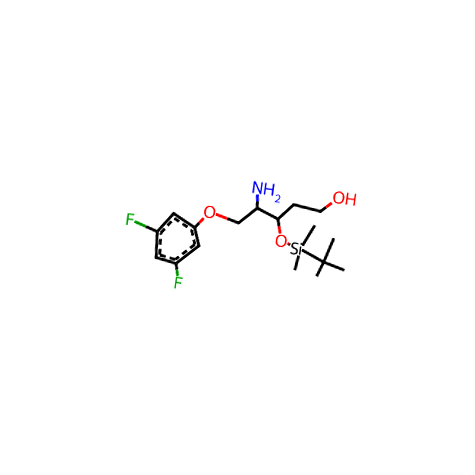 CC(C)(C)[Si](C)(C)OC(CCO)C(N)COc1cc(F)cc(F)c1